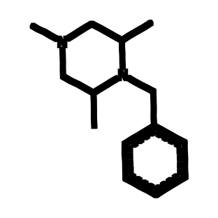 CC1CN(C)CC(C)N1Cc1ccccc1